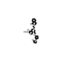 Cl.Cl.O=C1CCCN1c1cccc(OCCCN(CCn2ccc3ccccc3c2=O)Cc2ccncc2)c1